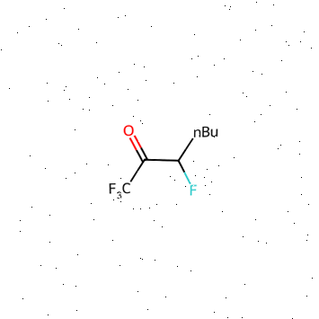 CCCCC(F)C(=O)C(F)(F)F